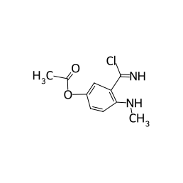 CNc1ccc(OC(C)=O)cc1C(=N)Cl